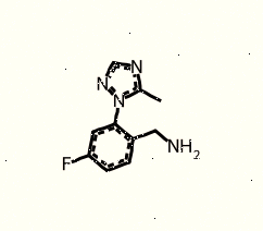 Cc1ncnn1-c1cc(F)ccc1CN